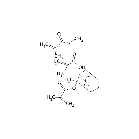 C=C(C)C(=O)O.C=C(C)C(=O)OC.C=C(C)C(=O)OC1(C)C2CC3CC(C2)CC1C3